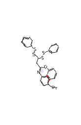 CC(C)c1ccc(/N=C(/CC(SSc2ccccc2)SSc2ccccc2)Oc2ccccc2)cc1